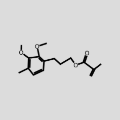 C=C(C)C(=O)OCCCc1ccc(C)c(OC)c1OC